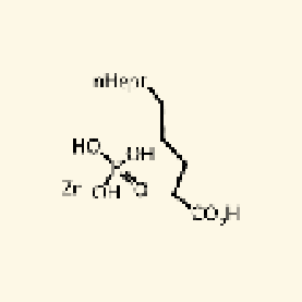 CCCCCCCCCCCC(=O)O.O=P(O)(O)O.[Zn]